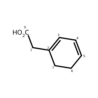 O=C(O)CC1=CC=CCC1